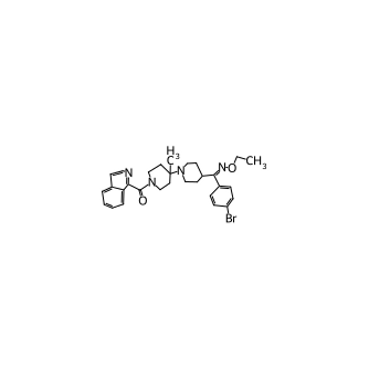 CCON=C(c1ccc(Br)cc1)C1CCN(C2(C)CCN(C(=O)c3nccc4ccccc34)CC2)CC1